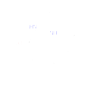 CC1=CC2C(=O)NC(C)NC2C(C(C)C)=C1